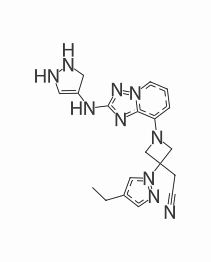 CCc1cnn(C2(CC#N)CN(c3cccn4nc(NC5=CNNC5)nc34)C2)c1